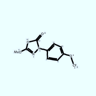 COc1nn(-c2ccc(OC(F)(F)F)cc2)c(=O)o1